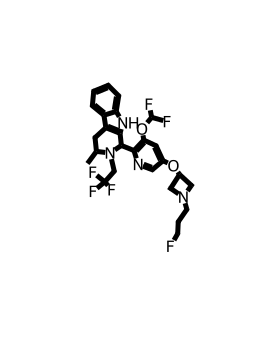 CC1Cc2c([nH]c3ccccc23)C(c2ncc(OC3CN(CCCF)C3)cc2OC(F)F)N1CC(F)(F)F